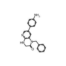 Nc1ccc(-c2cnc3c(c2)N(Cc2ccccc2)C(=O)CN3)cc1